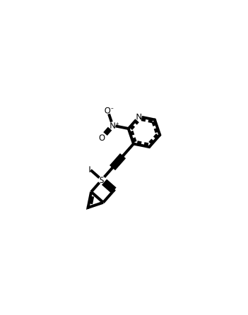 O=[N+]([O-])c1ncccc1C#CS1(I)#CC2C=C21